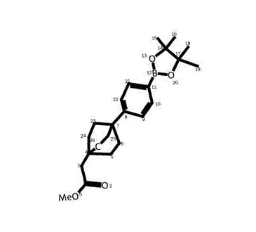 COC(=O)CC12CCC(c3ccc(B4OC(C)(C)C(C)(C)O4)cc3)(CC1)CC2